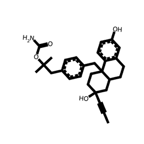 CC#CC1(O)CCC2(Cc3ccc(CC(C)(C)OC(N)=O)cc3)c3ccc(O)cc3CCC2C1